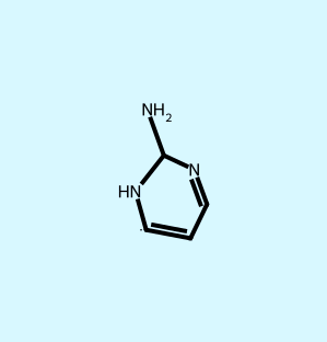 NC1N=CC=[C]N1